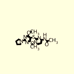 COc1nc(N2CCCC2)nc(OC)c1Sc1nccc(NC(C)=O)n1